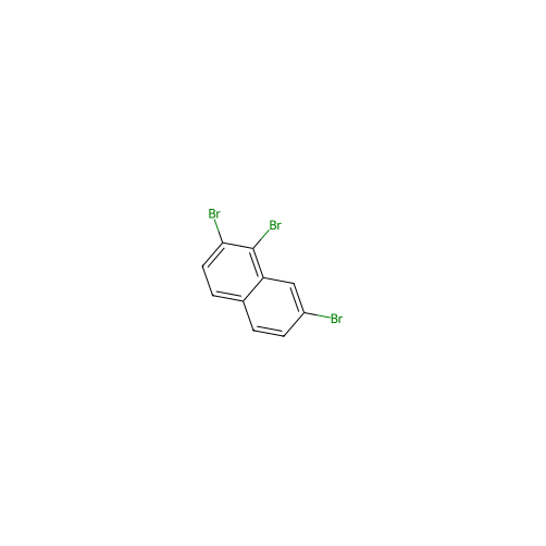 Brc1ccc2ccc(Br)c(Br)c2c1